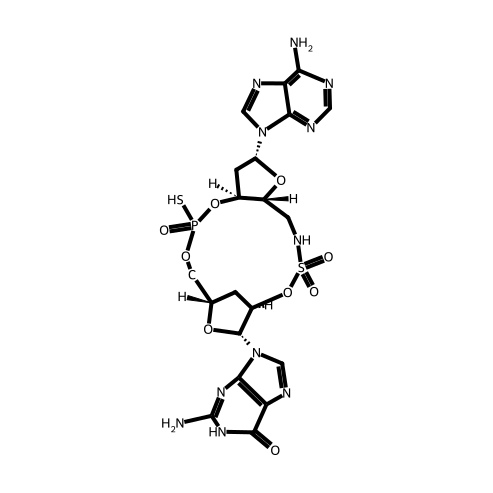 Nc1nc2c(ncn2[C@@H]2O[C@@H]3COP(=O)(S)O[C@H]4C[C@H](n5cnc6c(N)ncnc65)O[C@@H]4CNS(=O)(=O)O[C@@H]2C3)c(=O)[nH]1